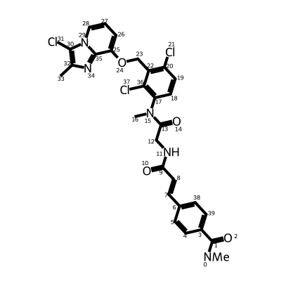 CNC(=O)c1ccc(C=CC(=O)NCC(=O)N(C)c2ccc(Cl)c(COc3cccn4c(Cl)c(C)nc34)c2Cl)cc1